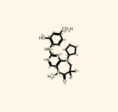 CN1C(=O)C(F)(F)CN(C2CCCC2)c2nc(Nc3ccc(C(=O)O)cc3O)ncc21